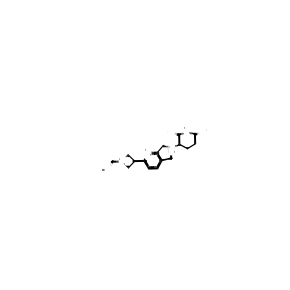 CC(C)(C)OC(=O)N1CC(c2ccc3c(n2)CN(C2CCC(=O)NC2=O)C3=O)C1